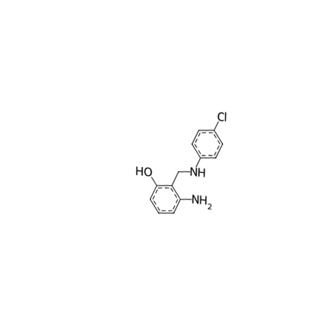 Nc1cccc(O)c1CNc1ccc(Cl)cc1